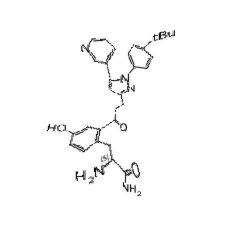 CC(C)(C)c1ccc(-n2nc(CCC(=O)c3cc(O)ccc3C[C@H](N)C(N)=O)cc2-c2cccnc2)cc1